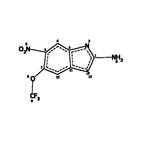 Nc1nc2cc([N+](=O)[O-])c(OC(F)(F)F)cc2s1